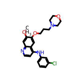 COc1cc2nccc(Nc3cccc(Cl)c3)c2cc1OCCCN1CCOCC1